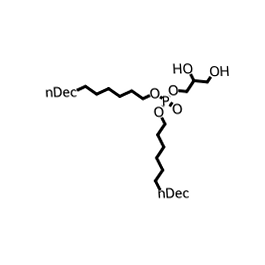 CCCCCCCCCCCCCCCCOP(=O)(OCCCCCCCCCCCCCCCC)OCC(O)CO